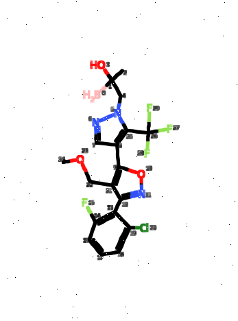 BC(C)(O)Cn1ncc(-c2onc(-c3c(F)cccc3Cl)c2COC)c1C(F)(F)F